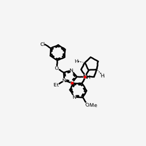 CCn1nc(NC2[C@@H]3CC[C@H]2CN(c2ccnc(OC)c2)C3)nc1Oc1cccc(Cl)c1